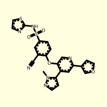 Cn1nccc1-c1cc(-c2ccoc2)ncc1Oc1ccc(S(=O)(=O)Nc2nccs2)cc1C#N